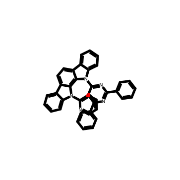 c1ccc(-c2cc(-n3c4ccccc4c4ccc5c6ccccc6n(-c6ccccn6)c5c43)nc(-c3ccccc3)n2)cc1